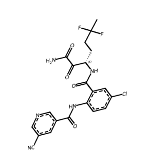 CC(F)(F)CC[C@H](NC(=O)c1cc(Cl)ccc1NC(=O)c1cncc(C#N)c1)C(=O)C(N)=O